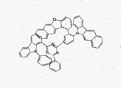 c1ccc(-c2nc(-c3ccc(-n4c5ccccc5c5cc6ccccc6cc54)c(-c4cccc5oc6cc7ccccc7cc6c45)c3)nc(-c3cccc4c5ccccc5n(-c5ccccc5)c34)n2)cc1